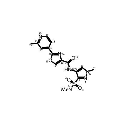 CNS(=O)(=O)c1nn(C)cc1NC(=O)c1coc(-c2ccnc(C)c2)n1